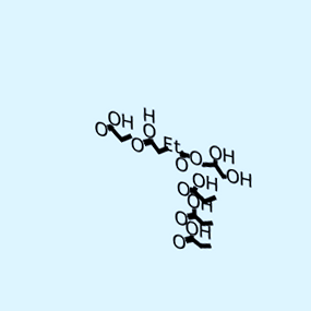 CCC(=O)O.CCC(=O)O.CCC(=O)O.CCC(=O)O.CCC(=O)O.CCC(=O)OCC(O)CO